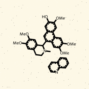 COc1cc2c(cc1O)cc(C1c3cc(OC)c(OC)cc3CCN1C)c1cc(OC)c(OC)cc12.c1ccc2ncccc2c1